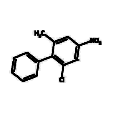 Cc1cc([N+](=O)[O-])[c]c(Cl)c1-c1ccccc1